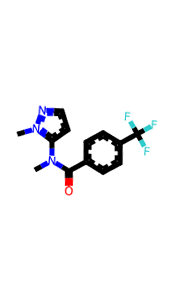 CN(C(=O)c1ccc(C(F)(F)F)cc1)c1ccnn1C